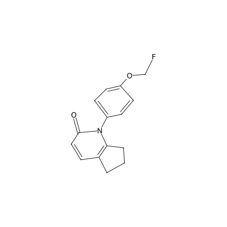 O=c1ccc2c(n1-c1ccc(OCF)cc1)CCC2